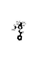 CC1(C)[C@@H]2[C@@H](C(=O)O)N(CC(=O)c3ccccc3)C[C@@H]21